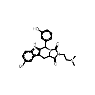 CN(C)CCN1C(=O)C2Cc3c([nH]c4ccc(Br)cc34)C(c3cccc(O)c3)N2C1=O